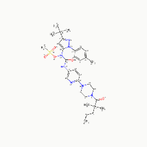 CCCC(C)(C)C(=O)N1CCN(c2ccc(NC(=O)N(OS(C)(=O)=O)c3cc(C(C)(C)C)nn3-c3ccc(C)cc3)cn2)CC1